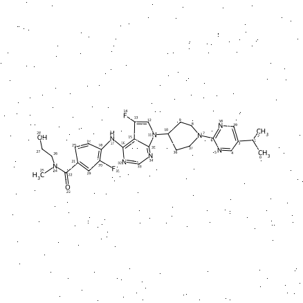 CC(C)c1cnc(N2CCC(n3cc(F)c4c(Nc5ccc(C(=O)N(C)CCO)cc5F)ncnc43)CC2)nc1